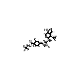 Cc1cc(-c2nc(Nc3ccc4[nH]ncc4c3C3CC3)n(C)n2)ccc1C(=O)NCC(F)(F)F